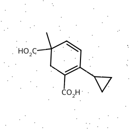 CC1(C(=O)O)C=CC(C2CC2)=C(C(=O)O)C1